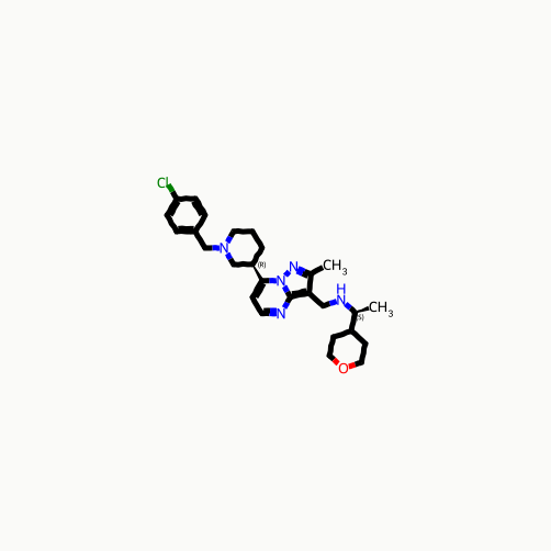 Cc1nn2c([C@@H]3CCCN(Cc4ccc(Cl)cc4)C3)ccnc2c1CN[C@@H](C)C1CCOCC1